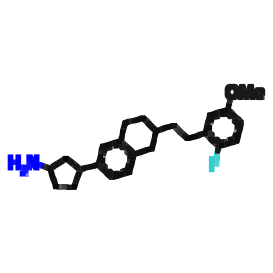 COc1ccc(F)c(CCC2CCc3cc(C4CCC(N)C4)ccc3C2)c1